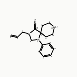 C=CCN1CN(c2ccccc2)C2(CCNCC2)C1=O